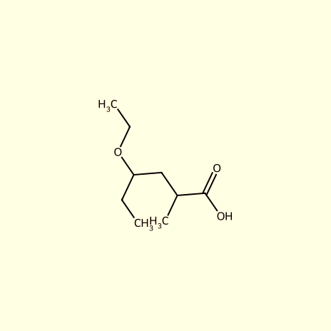 CCOC(CC)CC(C)C(=O)O